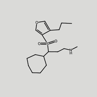 CCCc1cocc1S(=O)(=O)C(CCNC)C1CCCCCC1